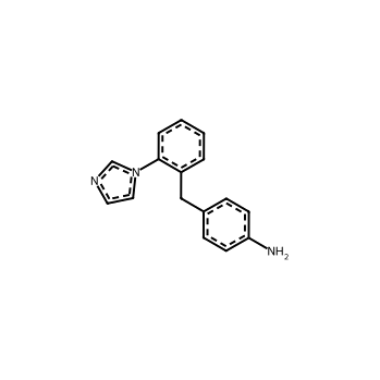 Nc1ccc(Cc2ccccc2-n2ccnc2)cc1